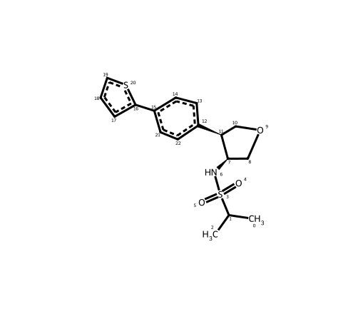 CC(C)S(=O)(=O)N[C@@H]1COC[C@@H]1c1ccc(-c2cccs2)cc1